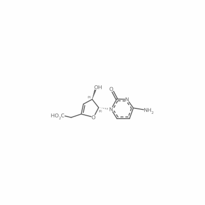 Nc1ccn([C@@H]2OC(CC(=O)O)=C[C@H]2O)c(=O)n1